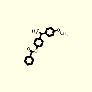 COc1ccc(C(C)c2ccc(OC(=O)c3ccccc3)cc2)cc1